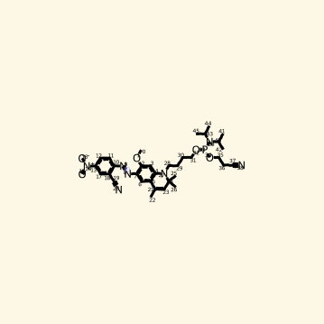 COc1cc2c(cc1/N=N/c1ccc([N+](=O)[O-])cc1C#N)C(C)=CC(C)(C)N2CCCCOP(OCCC#N)N(C(C)C)C(C)C